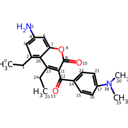 CCc1cc(N)cc2oc(=O)c(C(=O)c3ccc(N(C)C)cc3)c(CC)c12